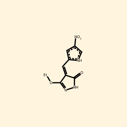 CCOC1=NNC(=O)C1=Cc1cc([N+](=O)[O-])c[nH]1